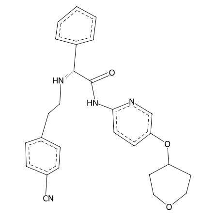 N#Cc1ccc(CCN[C@@H](C(=O)Nc2ccc(OC3CCOCC3)cn2)c2ccccc2)cc1